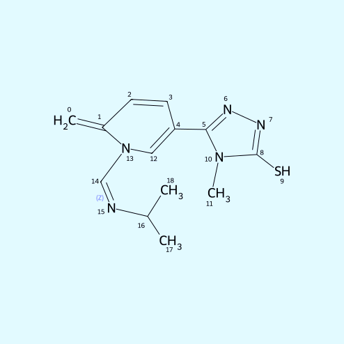 C=C1C=CC(c2nnc(S)n2C)=CN1/C=N\C(C)C